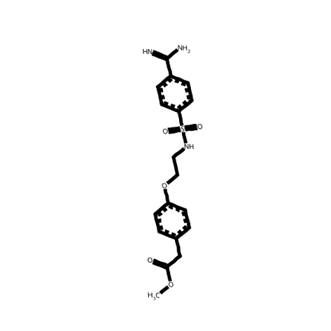 COC(=O)Cc1ccc(OCCNS(=O)(=O)c2ccc(C(=N)N)cc2)cc1